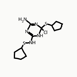 NC1=NC(Cl)(SC2CCCC2)NC(NSC2CCCC2)=N1